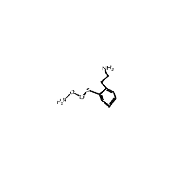 NCCc1ccccc1SOON